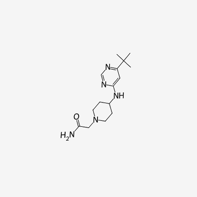 CC(C)(C)c1cc(NC2CCN(CC(N)=O)CC2)ncn1